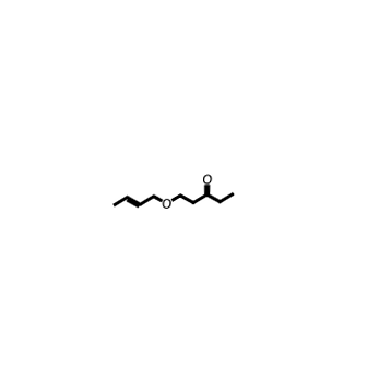 C/C=C/COCCC(=O)CC